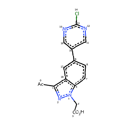 CC(=O)c1nn(CC(=O)O)c2ccc(-c3cnc(Cl)nc3)cc12